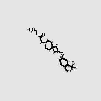 CCOC(=O)CN1CCC2(CC1)CC(Oc1ccc(Br)c(C(F)(F)F)c1)C2